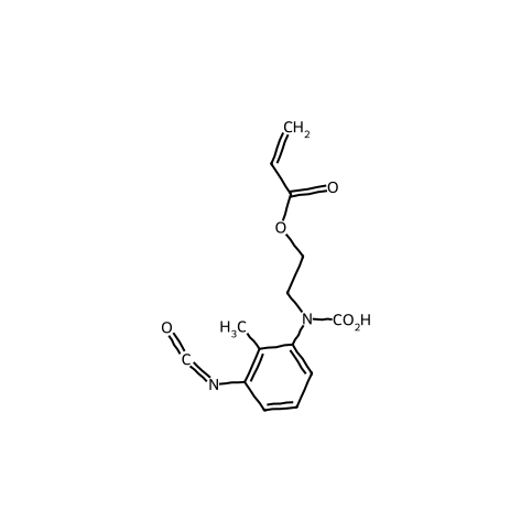 C=CC(=O)OCCN(C(=O)O)c1cccc(N=C=O)c1C